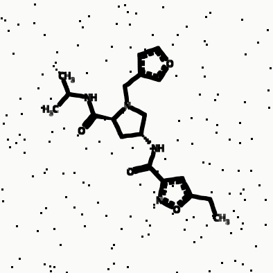 CCc1cc(C(=O)N[C@@H]2C[C@@H](C(=O)NC(C)C)N(Cc3ccoc3)C2)no1